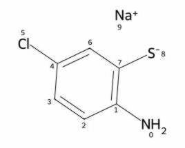 Nc1ccc(Cl)cc1[S-].[Na+]